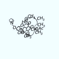 CC(=O)OC1C2C[C@H](C)CC(C)/C=C/C=C(/C)C(=O)Nc3c4oc5cc(OCCN6CC7CCC6C7)cc(O)c5nc-4c4c5c(c(C)c(c4c3=O)O2)O[C@](C)(O/C=C/C[C@H]1C)C5=O